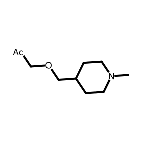 CC(=O)COCC1CCN(C)CC1